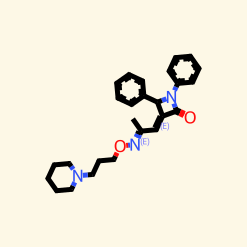 CC(/C=C1/C(=O)N(c2ccccc2)C1c1ccccc1)=N\OCCCN1CCCCC1